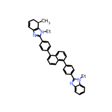 CCn1c(-c2ccc(-c3cccc4c(-c5ccc(-c6nc7ccccc7n6CC)cc5)cccc34)cc2)nc2c1[C@H](C)CC=C2